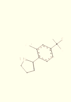 FC(F)(F)c1ccc(C2CCCN2)c(Cl)c1